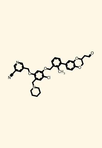 Cc1c(COc2cc(OCc3cncc(C#N)c3)c(CN3CCCCC3)cc2Cl)cccc1-c1ccc2c(c1)OC(CC=O)CO2